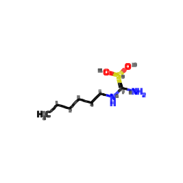 CCCCCCNC(N)=S(=O)=O